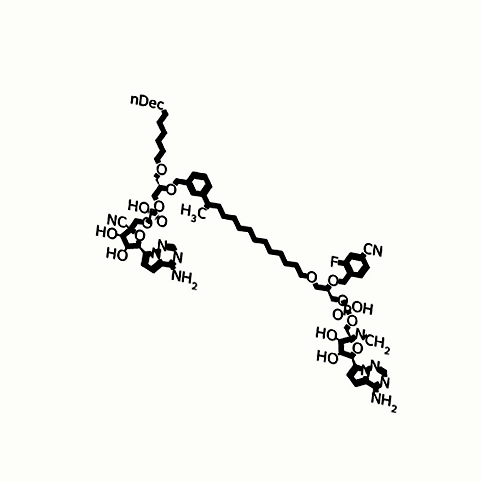 C=N[C@]1(COP(=O)(O)OC[C@@H](COCCCCCCCCCCCCC(C)c2cccc(CO[C@@H](COCCCCCCCCCCCCCCCC)COP(=O)(O)OC[C@@]3(C#N)O[C@@H](c4ccc5c(N)ncnn45)[C@H](O)[C@@H]3O)c2)OCc2ccc(C#N)cc2F)O[C@@H](c2ccc3c(N)ncnn23)[C@H](O)[C@@H]1O